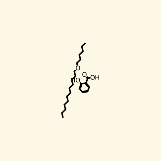 CCCCCCCCCCCCOCCCCCC.O=C(O)c1ccccc1O